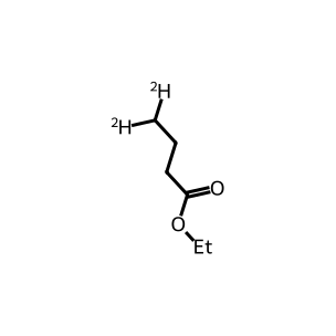 [2H]C([2H])CCC(=O)OCC